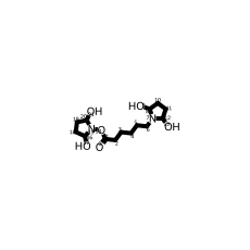 O=C(CCCCCN1C(O)CCC1O)ON1C(O)CCC1O